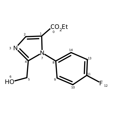 CCOC(=O)c1cnc(CO)n1-c1ccc(F)cc1